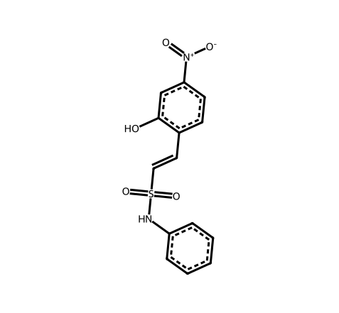 O=[N+]([O-])c1ccc(/C=C/S(=O)(=O)Nc2ccccc2)c(O)c1